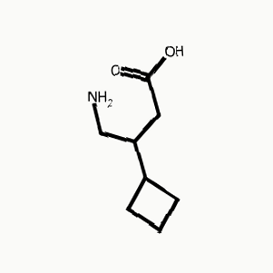 NCC(CC(=O)O)C1CCC1